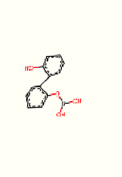 OB(O)Oc1ccccc1-c1ccccc1O